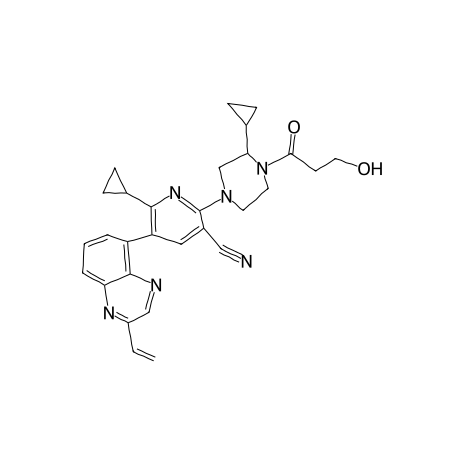 C=Cc1cnc2c(-c3cc(C#N)c(N4CCN(C(=O)CCO)C(C5CC5)C4)nc3C3CC3)cccc2n1